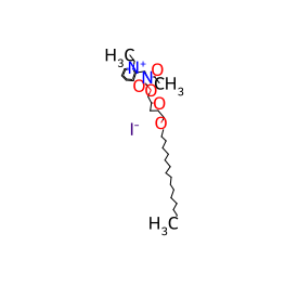 CCCCCCCCCCCCCCCCOCC1CC(COC(=O)N(Cc2cccc[n+]2CC)C(C)=O)O1.[I-]